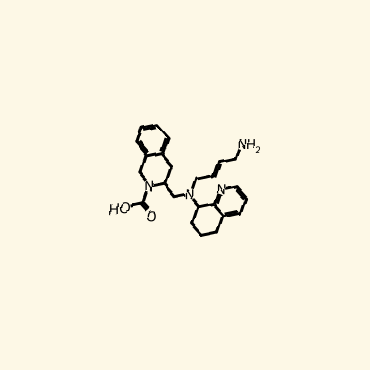 NC/C=C/CN(CC1Cc2ccccc2CN1C(=O)O)C1CCCc2cccnc21